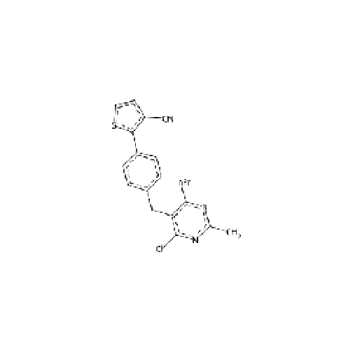 CCCc1nc(C)nc(Cl)c1Cc1ccc(-c2sccc2C#N)cc1